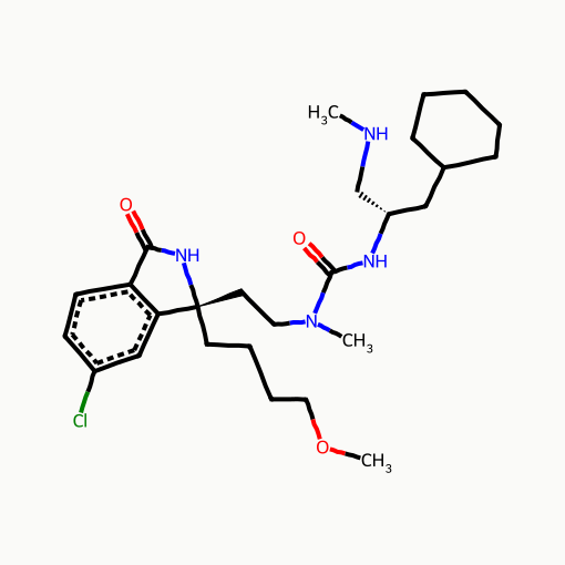 CNC[C@H](CC1CCCCC1)NC(=O)N(C)CC[C@]1(CCCCOC)NC(=O)c2ccc(Cl)cc21